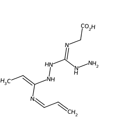 C=C/C=N\C(=C/C)NN/C(=N/CC(=O)O)NN